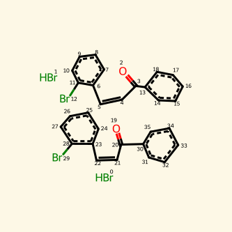 Br.Br.O=C(/C=C\c1ccccc1Br)c1ccccc1.O=C(/C=C\c1ccccc1Br)c1ccccc1